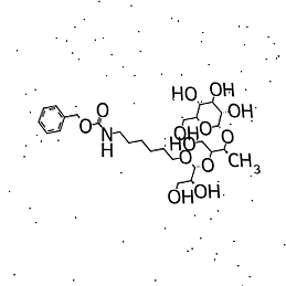 C[C@H](O[C@@H]1OC(CO)[C@H](O)C(O)[C@@H]1O)C(CO)O[C@@H](OCCCCCCNC(=O)OCc1ccccc1)[C@@H](O)CO